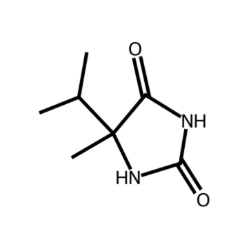 CC(C)C1(C)NC(=O)NC1=O